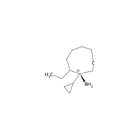 B[C@]1(C2CC2)CCCCCCC1CC